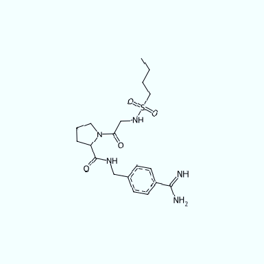 CCCCS(=O)(=O)NCC(=O)N1CCCC1C(=O)NCc1ccc(C(=N)N)cc1